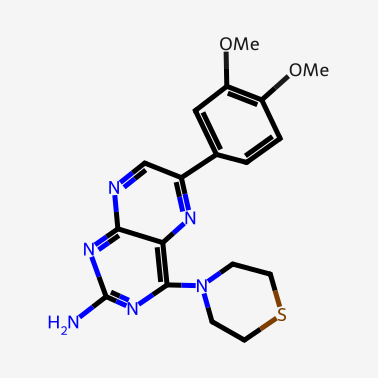 COc1ccc(-c2cnc3nc(N)nc(N4CCSCC4)c3n2)cc1OC